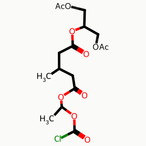 CC(=O)OCC(COC(C)=O)OC(=O)CC(C)CC(=O)OC(C)OC(=O)Cl